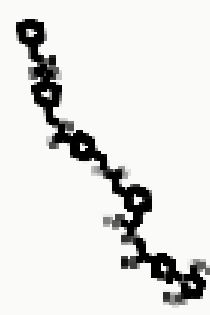 Cc1ccc(C)n1-c1ccc([C@@H](O)CN[C@H](C)Cc2cccc(CC(=O)NCc3ccc(C(=O)NCc4ccc(S(=O)(=O)NCc5ccccc5)cc4)cc3)c2)cn1